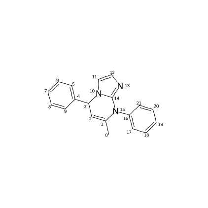 CC1=CC(c2ccccc2)n2ccnc2N1c1ccccc1